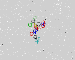 O=C(c1ccc(C(F)(F)F)cc1)N1CCN(S(=O)(=O)c2cc([N+](=O)[O-])ccc2Sc2cc(Cl)ccc2Cl)CC1